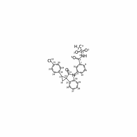 CS(=O)(=O)NC(=O)c1cccc(N2C(=O)C3(CC3c3ccc(Cl)cc3)c3ccccc32)c1